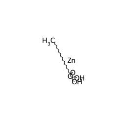 CCCCCCCCCCCCCCCCCC(=O)OC(CO)CO.[Zn]